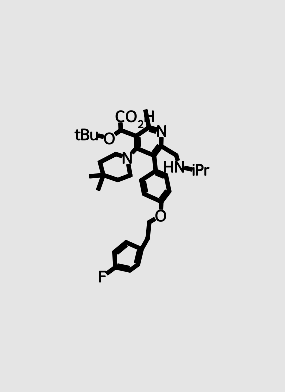 Cc1nc(CNC(C)C)c(-c2ccc(OCCc3ccc(F)cc3)cc2)c(N2CCC(C)(C)CC2)c1C(OC(C)(C)C)C(=O)O